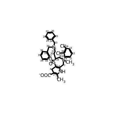 CC1=C(C(=O)[O-])CC2=C(C[N+](C)(c3cccc(Cl)c3Cl)CC(CCN(Cc3ccccc3)Cc3ccccc3)S2(=O)=O)N1